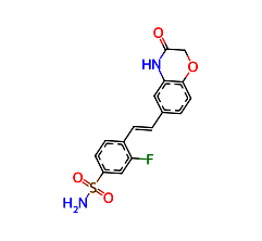 NS(=O)(=O)c1ccc(C=Cc2ccc3c(c2)NC(=O)CO3)c(F)c1